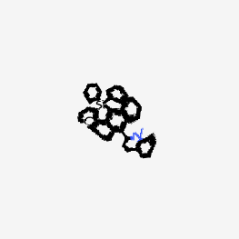 c1ccc([Si](c2ccccc2)(c2ccccc2)c2c3ccccc3c(-c3ccc4ccccc4n3)c3ccccc23)cc1